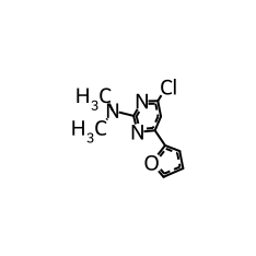 CN(C)c1nc(Cl)cc(-c2ccco2)n1